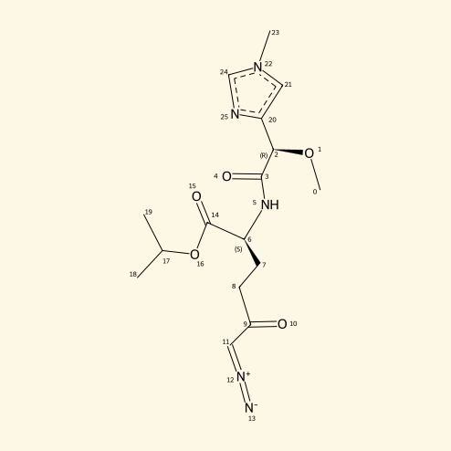 CO[C@@H](C(=O)N[C@@H](CCC(=O)C=[N+]=[N-])C(=O)OC(C)C)c1cn(C)cn1